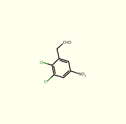 O=CCc1cc([N+](=O)[O-])cc(Cl)c1Cl